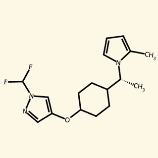 Cc1cccn1[C@H](C)C1CCC(Oc2cnn(C(F)F)c2)CC1